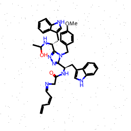 C=C/C=C\C=N/CC(=O)N[C@H](Cc1c[nH]c2ccccc12)c1nnc([C@@H](Cc2c[nH]c3ccccc23)NC(C)O)n1Cc1ccc(OC)cc1